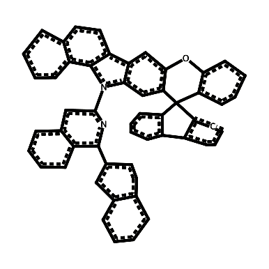 c1ccc2c(c1)Oc1cc3c4ccc5ccccc5c4n(-c4cc5ccccc5c(-c5ccc6ccccc6c5)n4)c3cc1C21c2ccccc2-c2ccccc21